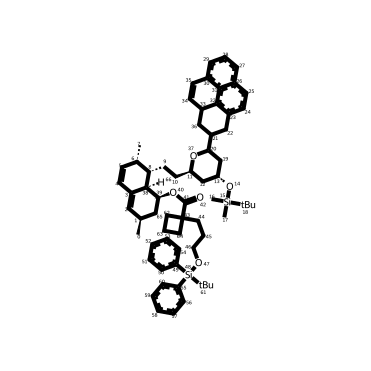 C[C@H]1C=C2C=C[C@H](C)[C@H](CC[C@@H]3C[C@@H](O[Si](C)(C)C(C)(C)C)CC(C4Cc5ccc6cccc7c6c5C(C=C7)C4)O3)[C@H]2[C@@H](OC(=O)C2(CCCO[Si](c3ccccc3)(c3ccccc3)C(C)(C)C)CCC2)C1